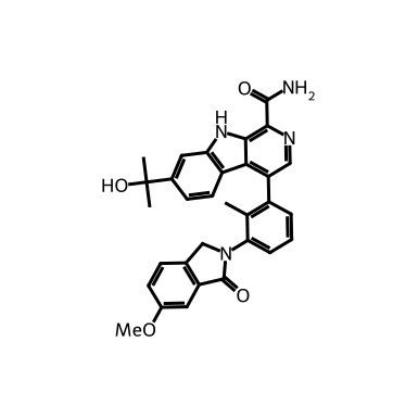 COc1ccc2c(c1)C(=O)N(c1cccc(-c3cnc(C(N)=O)c4[nH]c5cc(C(C)(C)O)ccc5c34)c1C)C2